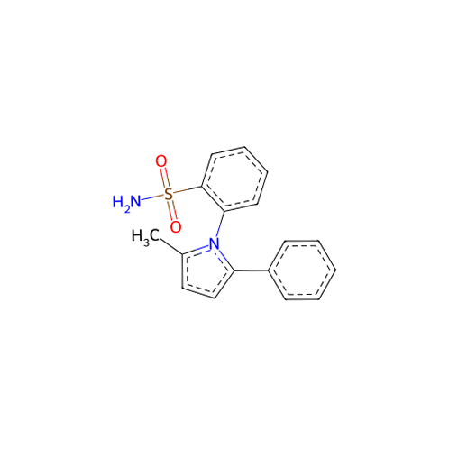 Cc1ccc(-c2ccccc2)n1-c1ccccc1S(N)(=O)=O